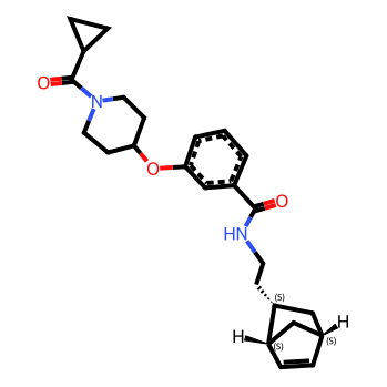 O=C(NCC[C@@H]1C[C@@H]2C=C[C@H]1C2)c1cccc(OC2CCN(C(=O)C3CC3)CC2)c1